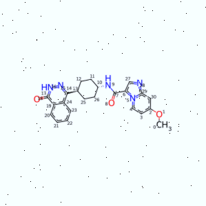 COc1ccn2c(C(=O)N[C@H]3CC[C@H](c4n[nH]c(=O)c5ccccc54)CC3)cnc2c1